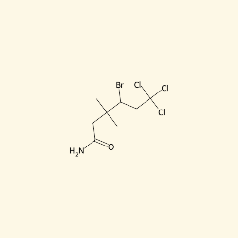 CC(C)(CC(N)=O)C(Br)CC(Cl)(Cl)Cl